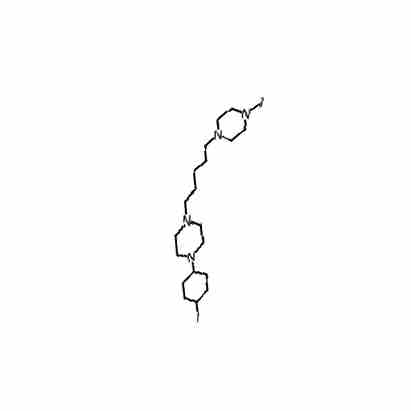 IC1CCC(N2CCN(CCCCCN3CCN(I)CC3)CC2)CC1